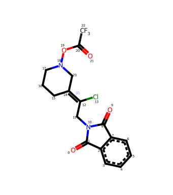 O=C1c2ccccc2C(=O)N1C/C(Cl)=C1\CCCN(OC(=O)C(F)(F)F)C1